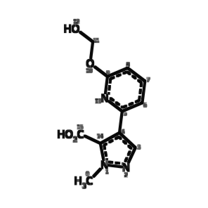 Cn1ncc(-c2cccc(OCO)n2)c1C(=O)O